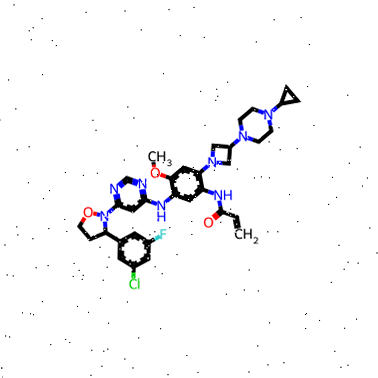 C=CC(=O)Nc1cc(Nc2cc(N3OCCC3c3cc(F)cc(Cl)c3)ncn2)c(OC)cc1N1CC(N2CCN(C3CC3)CC2)C1